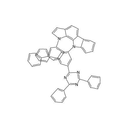 c1ccc(-c2cccc(-n3ccc4ccc5c6ccccc6n(-c6cc(-c7ccccc7)cc(-c7nc(-c8ccccc8)nc(-c8ccccc8)n7)c6)c5c43)c2)cc1